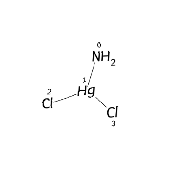 [NH2][Hg]([Cl])[Cl]